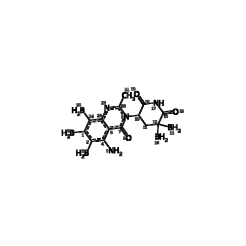 Bc1c(B)c(N)c2c(=O)n(C3CC(B)(B)C(=O)NC3=O)c(C)nc2c1B